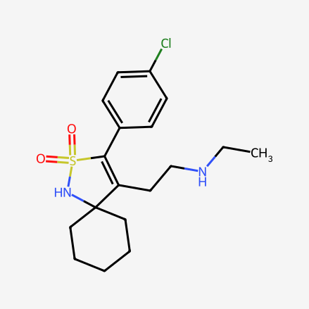 CCNCCC1=C(c2ccc(Cl)cc2)S(=O)(=O)NC12CCCCC2